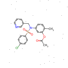 CC(=O)Oc1cc(N(Cc2cccnc2)S(=O)(=O)c2ccc(Cl)cc2)ccc1C